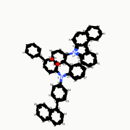 c1ccc(-c2ccc(N(c3ccc(-c4cccc5ccccc45)cc3)c3ccccc3-c3ccccc3-n3c4ccccc4c4c5ccccc5ccc43)cc2)cc1